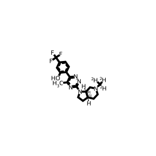 [2H]C([2H])([2H])N1CC[C@H]2CCN(c3nnc(-c4ccc(C(F)(F)F)cc4O)c(C)n3)[C@H]2C1